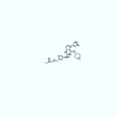 CCNCOCc1cc(Nc2nc(OC3CCOCC3)c3c(ccn3-c3cnn(C)c3)n2)cs1